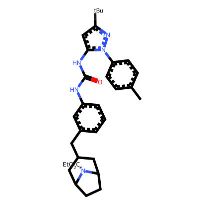 CCOC(=O)N1C2CCC1CC(Cc1cccc(NC(=O)Nc3cc(C(C)(C)C)nn3-c3ccc(C)cc3)c1)C2